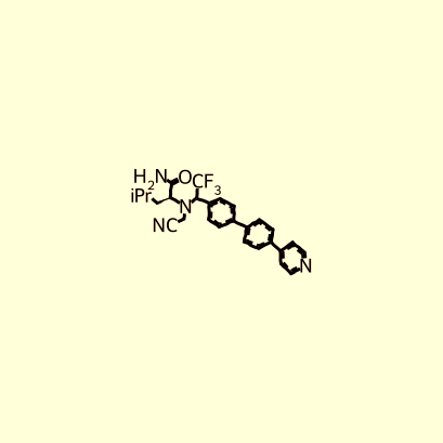 CC(C)C[C@@H](C(N)=O)N(CC#N)C(c1ccc(-c2ccc(-c3ccncc3)cc2)cc1)C(F)(F)F